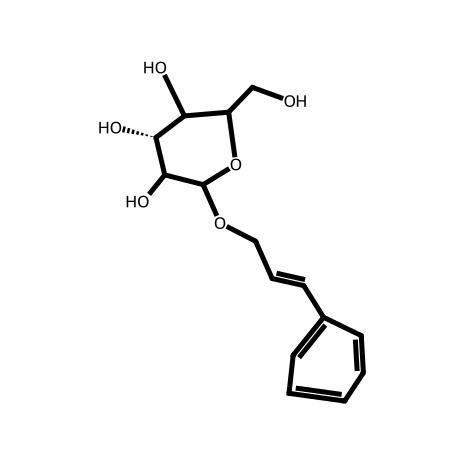 OCC1OC(OC/C=C/c2ccccc2)C(O)[C@H](O)C1O